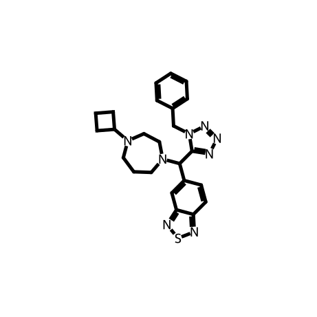 c1ccc(Cn2nnnc2C(c2ccc3nsnc3c2)N2CCCN(C3CCC3)CC2)cc1